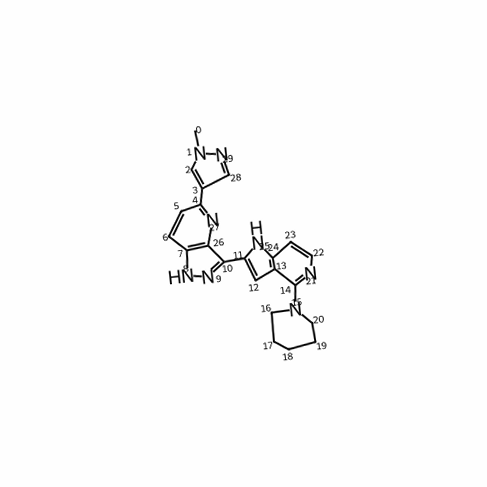 Cn1cc(-c2ccc3[nH]nc(-c4cc5c(N6CCCCC6)nccc5[nH]4)c3n2)cn1